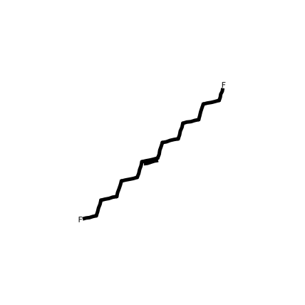 FCCCCCC=CCCCCCCF